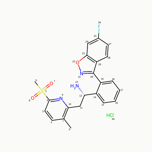 Cc1ccc(S(C)(=O)=O)nc1C[C@H](N)c1ccccc1-c1noc2cc(F)ccc12.Cl